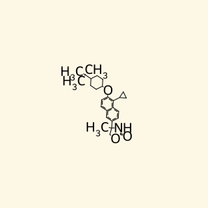 CC1(c2ccc3c(C4CC4)c(OC4CCC(C(C)(C)C)CC4)ccc3c2)COC(=O)N1